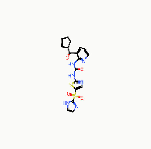 O=C(Nc1ncc(S(=O)(=O)c2ncc[nH]2)s1)Nc1ncccc1C(=O)C1CCCC1